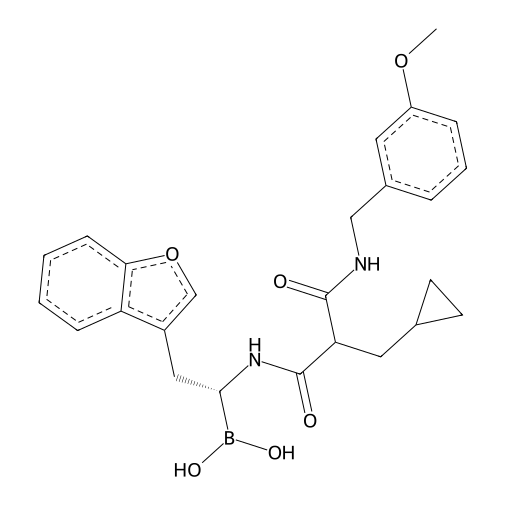 COc1cccc(CNC(=O)C(CC2CC2)C(=O)N[C@@H](Cc2coc3ccccc23)B(O)O)c1